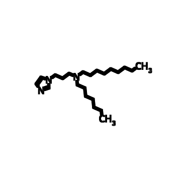 CCCCCCCCCN(CCCCCCC)CCCn1ccnc1